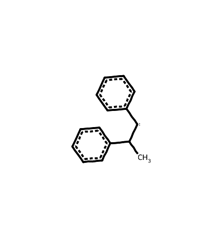 CC([C]c1ccccc1)c1ccccc1